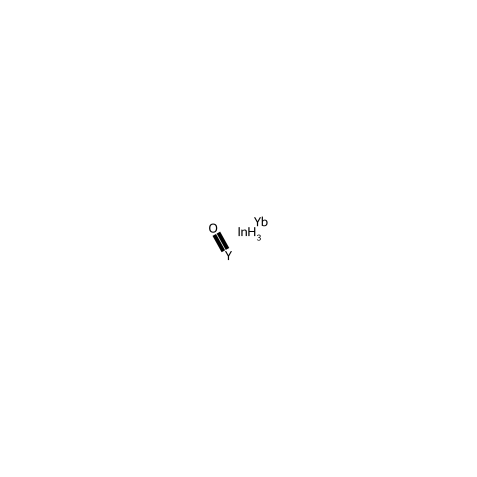 [InH3].[O]=[Y].[Yb]